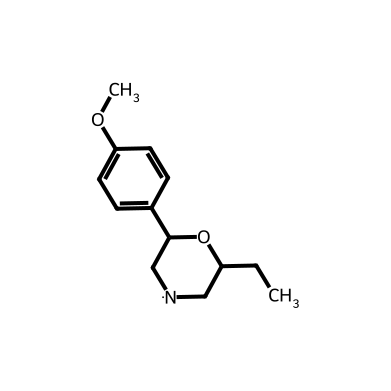 CCC1C[N]CC(c2ccc(OC)cc2)O1